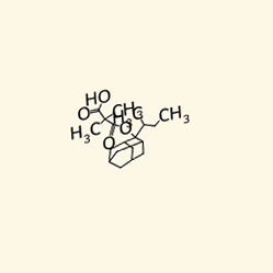 CCC(C)C1(OC(=O)C(C)(C)C(=O)O)C2CC3CC(C2)CC1C3